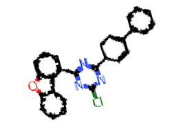 Clc1nc(-c2cccc3oc4ccccc4c23)nc(C2C=CC(c3ccccc3)=CC2)n1